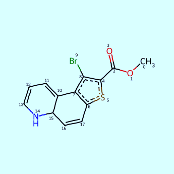 COC(=O)c1sc2c(c1Br)C1=CC=CNC1C=C2